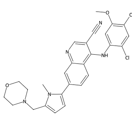 COc1cc(Nc2c(C#N)cnc3cc(-c4ccc(CN5CCOCC5)n4C)ccc23)c(Cl)cc1Cl